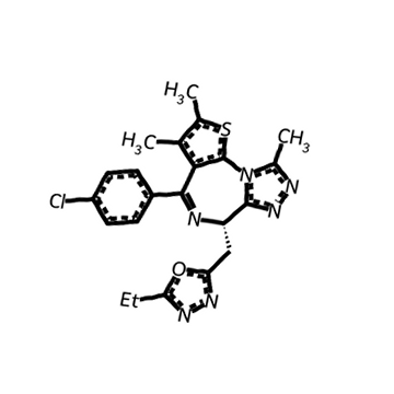 CCc1nnc(C[C@@H]2N=C(c3ccc(Cl)cc3)c3c(sc(C)c3C)-n3c(C)nnc32)o1